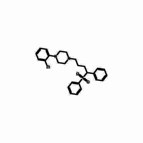 CCc1ccccc1N1CCN(CCCC(c2ccccc2)S(=O)(=O)c2ccccc2)CC1